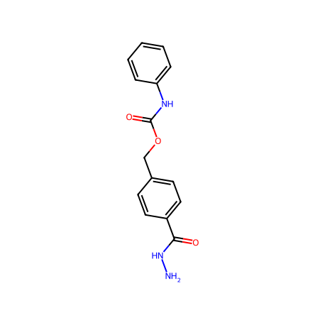 NNC(=O)c1ccc(COC(=O)Nc2ccccc2)cc1